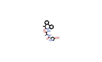 CC1C(=O)N(NC(=O)[C@H](C)NC(=O)[C@@H]2C[C@@H](O)CN2)c2ccccc2-c2ccccc21